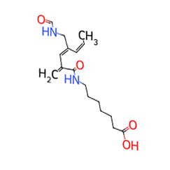 C=C(/C=C(\C=C/C)CNC=O)C(=O)NCCCCCCC(=O)O